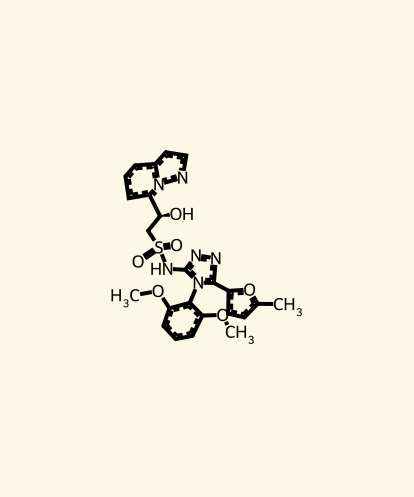 COc1cccc(OC)c1-n1c(NS(=O)(=O)C[C@H](O)c2cccc3ccnn23)nnc1-c1ccc(C)o1